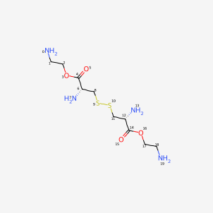 NCCOC(=O)[C@@H](N)CSSC[C@H](N)C(=O)OCCN